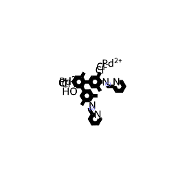 Cc1cc(-c2c(C)ccc(O)c2-c2cc(C)c(/N=C/c3ccccn3)c(C)c2)cc(C)c1/N=C/c1ccccn1.[Cl-].[Cl-].[Cl-].[Cl-].[Pd+2].[Pd+2]